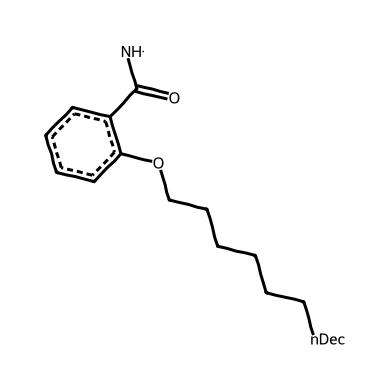 CCCCCCCCCCCCCCCCOc1ccccc1C([NH])=O